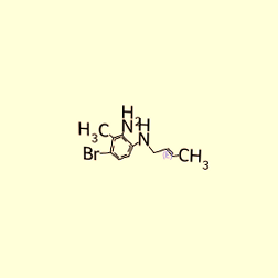 C/C=C/CNc1ccc(Br)c(C)c1N